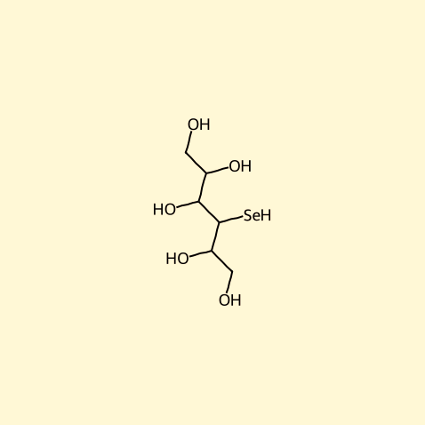 OCC(O)C(O)C([SeH])C(O)CO